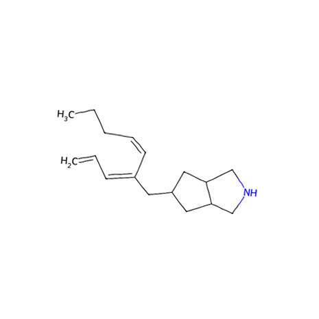 C=C/C=C(\C=C/CCC)CC1CC2CNCC2C1